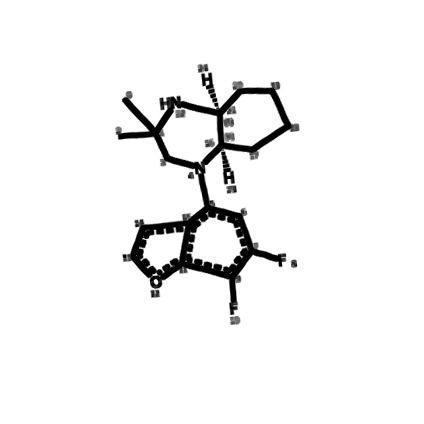 CC1(C)CN(c2cc(F)c(F)c3occc23)[C@@H]2CCCC[C@@H]2N1